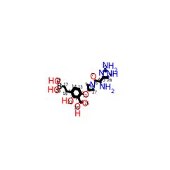 Nc1nc(C(N)C(=O)N2CC(Oc3ccc(CCB(O)O)c(O)c3C(=O)O)C2)c[nH]1